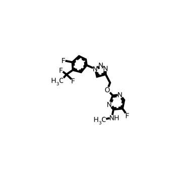 CNc1nc(OCc2cn(-c3ccc(F)c(C(C)(F)F)c3)nn2)ncc1F